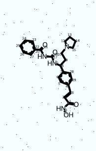 O=C(C=Cc1ccc(C(CCN2CCCC2)NC(=O)NC(=O)c2ccccc2)cc1)NO